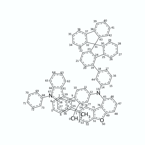 CC1(C)c2ccccc2-c2ccc(N(c3cccc(-c4cccc5c4-c4ccccc4C54c5ccccc5-c5ccccc54)c3)c3cccc4oc5ccc(-c6ccc7c(c6)c6ccccc6n7-c6ccccc6)cc5c34)cc21